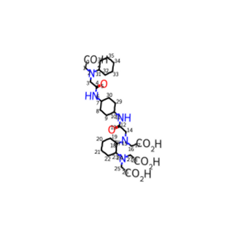 O=C(O)CN(CC(=O)NC1CCC(NC(=O)CN(CC(=O)O)[C@@H]2CCCCC2N(CC(=O)O)CC(=O)O)CC1)C1CCCCC1